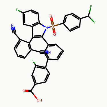 N#Cc1cccc(C#N)c1-c1c(-c2cccc(-c3ccc(C(=O)O)cc3F)c2)n(S(=O)(=O)c2ccc(C(F)F)cc2)c2ccc(F)cc12